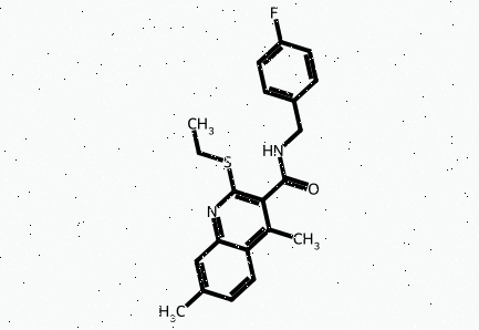 CCSc1nc2cc(C)ccc2c(C)c1C(=O)NCc1ccc(F)cc1